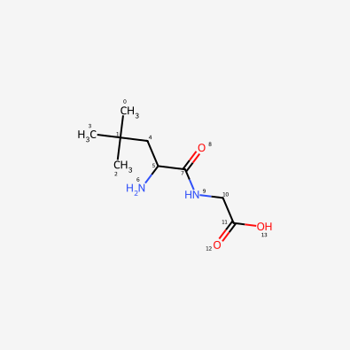 CC(C)(C)CC(N)C(=O)NCC(=O)O